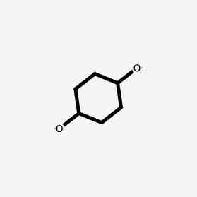 [O]C1CCC([O])CC1